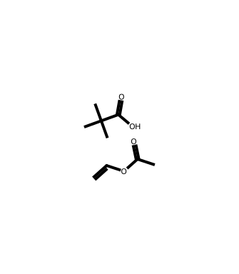 C=COC(C)=O.CC(C)(C)C(=O)O